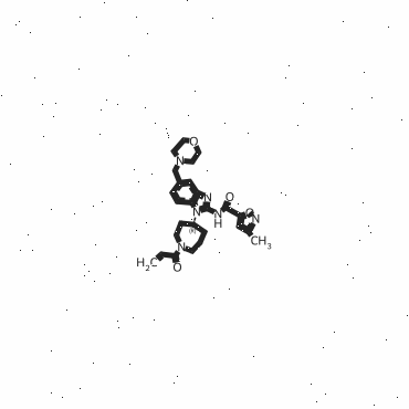 C=CC(=O)N1CCC[C@@H](n2c(NC(=O)c3cc(C)no3)nc3cc(CN4CCOCC4)ccc32)CC1